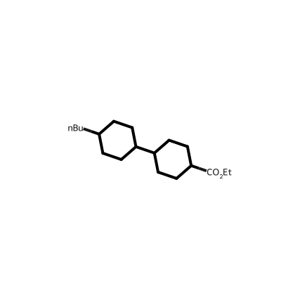 CCCCC1CCC(C2CCC(C(=O)OCC)CC2)CC1